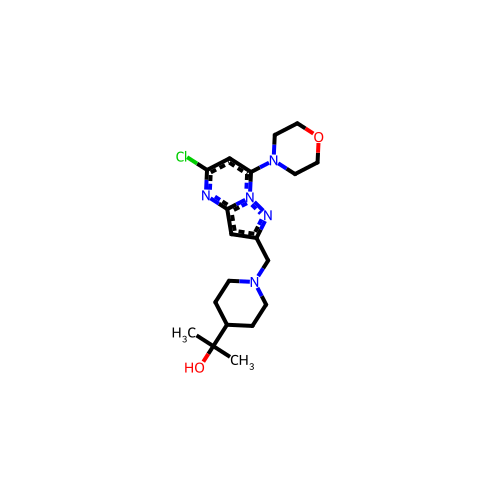 CC(C)(O)C1CCN(Cc2cc3nc(Cl)cc(N4CCOCC4)n3n2)CC1